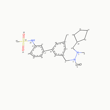 Cc1cc(CN(C=O)N(C)CC2CCCC2)cc(-c2cccc(NS(C)(=O)=O)c2)c1